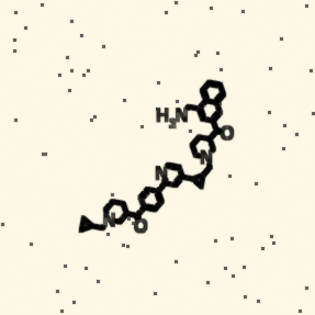 NCc1cc(C(=O)C2CCCN(CC3CC3c3ccnc(-c4ccc(C(=O)C5CCCN(CC6CC6)C5)cc4)c3)C2)cc2ccccc12